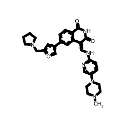 CN1CCN(c2ccc(N/C=C3\C(=O)NC(=O)c4ccc(-c5coc(CN6CCCC6)c5)cc43)nc2)CC1